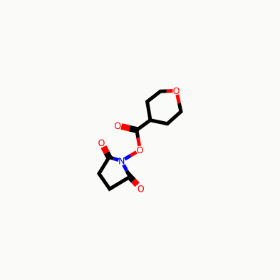 O=C(ON1C(=O)CCC1=O)C1CCOCC1